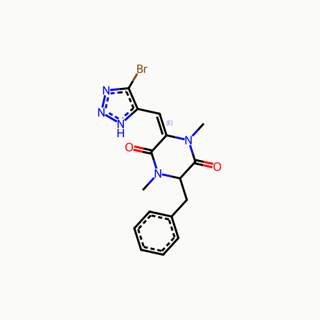 CN1C(=O)C(Cc2ccccc2)N(C)C(=O)/C1=C\c1[nH]nnc1Br